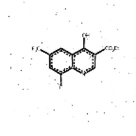 CCOC(=O)c1cnc2c(F)cc(C(F)(F)F)cc2c1O